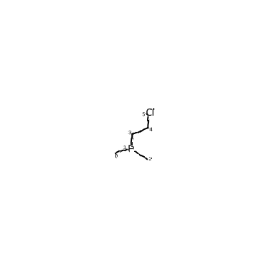 CP(C)CCCl